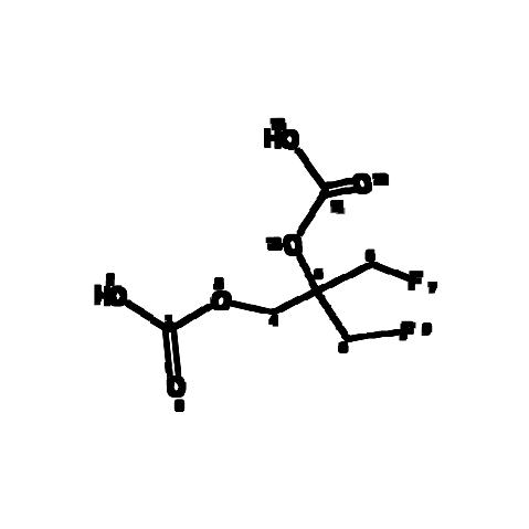 O=C(O)OCC(CF)(CF)OC(=O)O